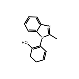 Cc1nc2ccccc2n1C1=C(O)CCC=C1